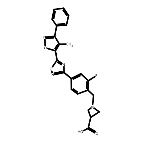 Cc1c(-c2ccccc2)noc1-c1nc(-c2ccc(CN3CC(C(=O)O)C3)c(F)c2)no1